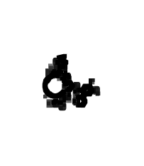 CC[C@@H]1C[C@H](C)CCC=C[C@@H]2C[C@@]2(C(=O)NS(=O)(=O)C2(C)CC2)NC(=O)[C@@H]2C[C@@H](Oc3nc4c(c5cc(OC)c(F)cc35)CCCO4)CN2C(=O)[C@H]1NC(=O)O